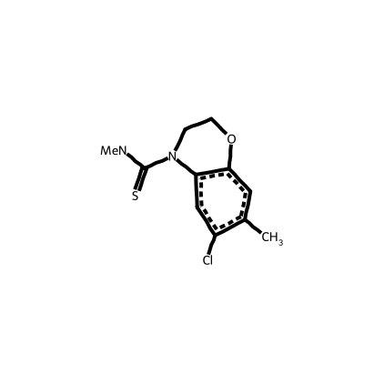 CNC(=S)N1CCOc2cc(C)c(Cl)cc21